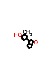 Cc1cc(C2=CC(=O)C3CCCC23)ccc1O